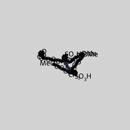 COCCOCCOCCOCC[N+]1=C(/C=C/C=C/C=C2/N(CCOCCOCCOCCC(=O)ON3C(=O)CCC3=O)c3ccc(S(=O)(=O)O)cc3C2(C)CCOCCOCCOCCOC)C(C)(CCOCCOCCOCCOC)c2cc(S(=O)(=O)O)ccc21